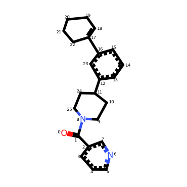 O=C(c1cccnc1)N1CCC(c2cc[c]c(C3=CCCCC3)c2)CC1